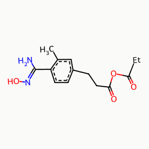 CCC(=O)OC(=O)CCc1ccc(C(N)=NO)c(C)c1